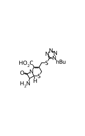 CCCCn1nnnc1SCC1=C(C(=O)O)N2C(=O)C(N)[C@H]2SC1